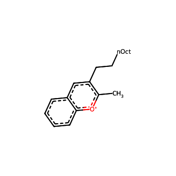 CCCCCCCCCCc1cc2ccccc2[o+]c1C